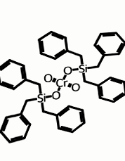 [O]=[Cr](=[O])([O][Si](Cc1ccccc1)(Cc1ccccc1)Cc1ccccc1)[O][Si](Cc1ccccc1)(Cc1ccccc1)Cc1ccccc1